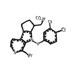 CC(C)c1nccc2c3c(n(Sc4ccc(Cl)c(Cl)c4)c12)C(CC(=O)O)CC3